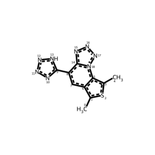 Cc1sc(C)c2c1cc(-c1nnn[nH]1)c1nnnn12